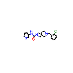 O=C(Nc1cccnc1)N1CC2(CCN(Cc3ccccc3Cl)CC2)C1